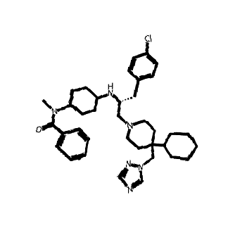 CN(C(=O)c1ccccc1)C1CCC(N[C@H](Cc2ccc(Cl)cc2)CN2CCC(Cn3cncn3)(C3CCCCC3)CC2)CC1